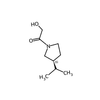 CC(C)[C@@H]1CCN(C(=O)CO)C1